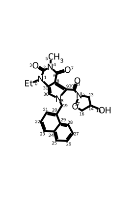 CCn1c(=O)n(C)c(=O)c2c(C(=O)N3CC(O)CO3)n(Cc3cccc4ccccc34)cc21